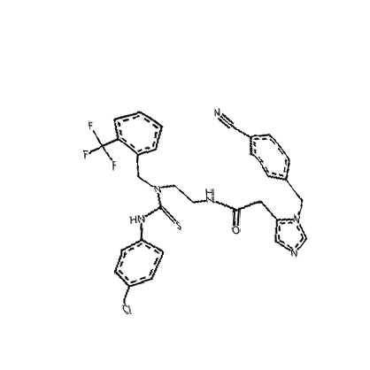 N#Cc1ccc(Cn2cncc2CC(=O)NCCN(Cc2ccccc2C(F)(F)F)C(=S)Nc2ccc(Cl)cc2)cc1